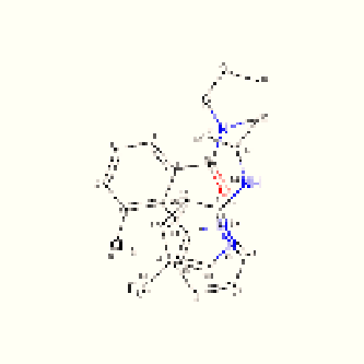 Cc1cccc(C(=O)N2C3CCC2C(Nc2ccc(C(F)(F)F)cn2)C3)c1-c1ccccn1